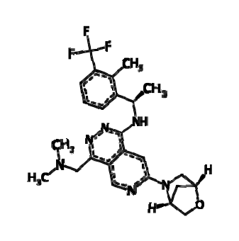 Cc1c([C@@H](C)Nc2nnc(CN(C)C)c3cnc(N4C[C@H]5C[C@@H]4CO5)cc23)cccc1C(F)(F)F